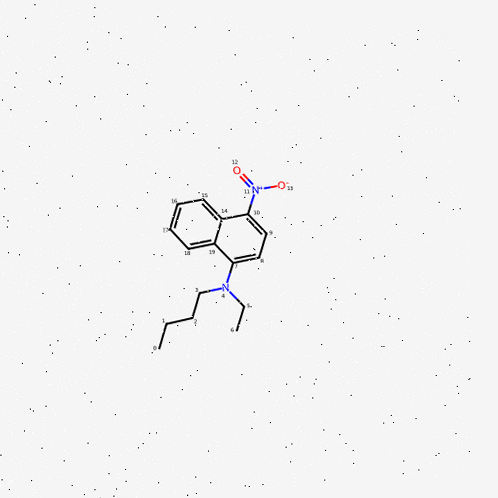 CCCCN(CC)c1ccc([N+](=O)[O-])c2ccccc12